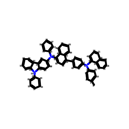 Cc1ccc(N(c2ccc(-c3ccc(N(c4ccccc4)c4ccc5c(c4)c4ccccc4n5-c4ccccc4)c4ccccc34)cc2)c2cccc3ccccc23)cc1